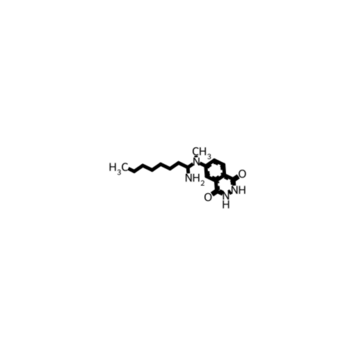 CCCCCCCC(N)N(C)c1ccc2c(=O)[nH][nH]c(=O)c2c1